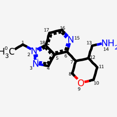 CCn1ncc2c(C3COCCC3CN)nccc21